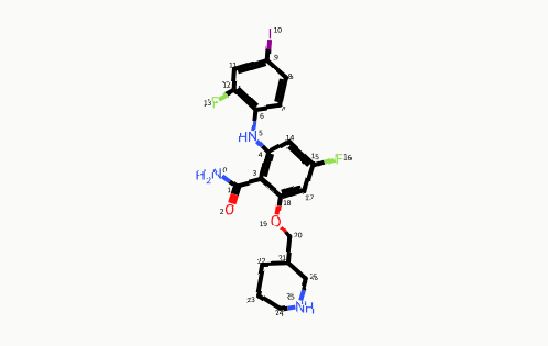 NC(=O)c1c(Nc2ccc(I)cc2F)cc(F)cc1OCC1CCCNC1